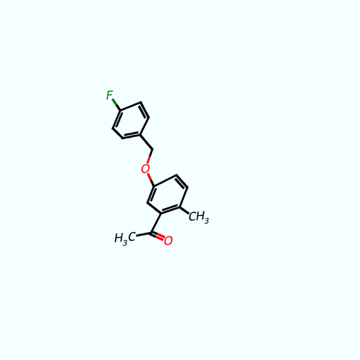 CC(=O)c1cc(OCc2ccc(F)cc2)ccc1C